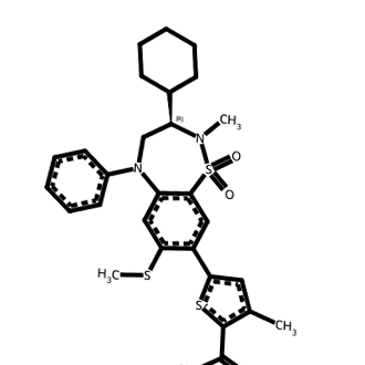 CSc1cc2c(cc1-c1cc(C)c(C(=O)O)s1)S(=O)(=O)N(C)[C@H](C1CCCCC1)CN2c1ccccc1